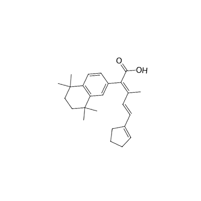 CC(C=CC1=CCCC1)=C(C(=O)O)c1ccc2c(c1)C(C)(C)CCC2(C)C